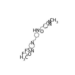 CC(Oc1nc2c(s1)CCN(CCC1CCC(NC(=O)Cc3ccc4nn(C)cc4c3)CC1)CC2)C(F)F